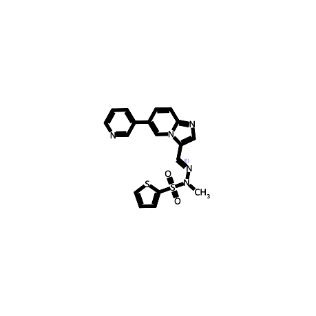 CN(/N=C/c1cnc2ccc(-c3cccnc3)cn12)S(=O)(=O)c1cccs1